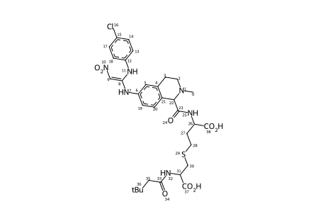 CN1CCc2cc(NC(=C[N+](=O)[O-])Nc3ccc(Cl)cc3)ccc2C1C(=O)NC(CCSCC(NC(=O)CC(C)(C)C)C(=O)O)C(=O)O